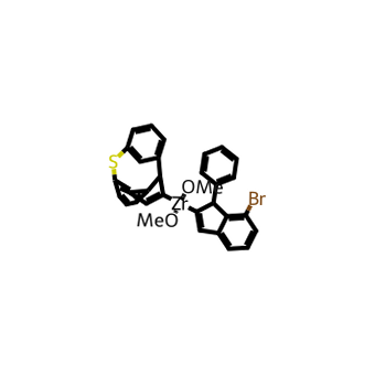 C[O][Zr]([O]C)([C]1=Cc2c3cccc2C1c1cccc(c1)S3)[C]1=Cc2cccc(Br)c2C1c1ccccc1